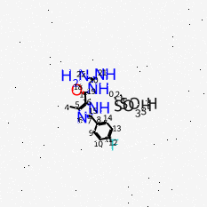 CS(=O)(=O)O.CS(=O)(=O)O.Cc1nc(-c2ccc(F)cc2)[nH]c1C(=O)NC(=N)N